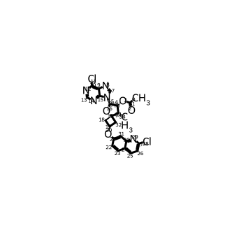 CC(=O)O[C@H]1[C@H](n2cnc3c(Cl)ncnc32)O[C@]2(C[C@H](Oc3ccc4ccc(Cl)nc4c3)C2)[C@H]1C